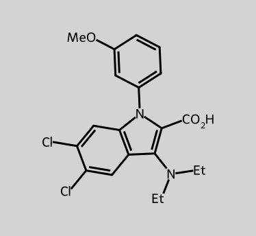 CCN(CC)c1c(C(=O)O)n(-c2cccc(OC)c2)c2cc(Cl)c(Cl)cc12